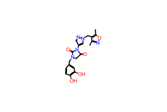 Cc1noc(C)c1Cn1cc(N2C(=O)CN(Cc3ccc(O)c(O)c3)C2=O)cn1